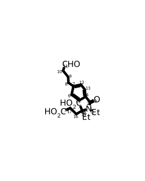 CCN(C(=O)c1ccc(CCCC=O)cc1)[C@@](CC)(CCC(=O)O)C(=O)O